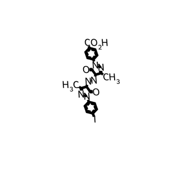 CC1=NN(c2ccc(I)cc2)C(=O)C1N=NC1C(=O)N(c2ccc(C(=O)O)cc2)N=C1C